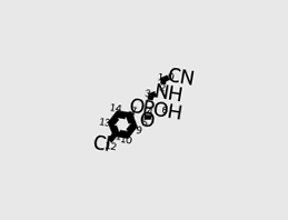 N#CCNCP(=O)(O)Oc1ccc(Cl)cc1